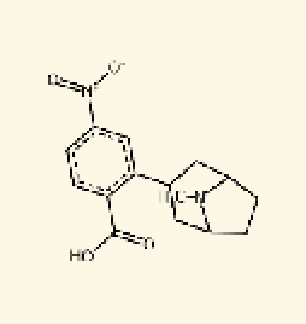 CN1C2CCC1CC(c1cc([N+](=O)[O-])ccc1C(=O)O)C2